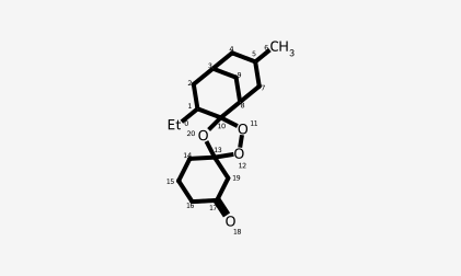 CCC1CC2CC(C)CC(C2)C12OOC1(CCCC(=O)C1)O2